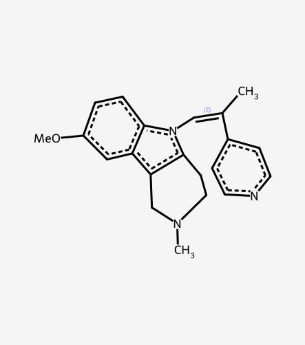 COc1ccc2c(c1)c1c(n2/C=C(/C)c2ccncc2)CCN(C)C1